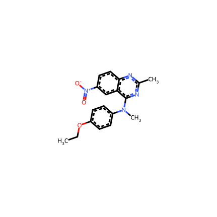 CCOc1ccc(N(C)c2nc(C)nc3ccc([N+](=O)[O-])cc23)cc1